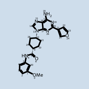 COc1cccc(NC(=O)[C@H]2CC[C@@H](n3cnc4c(N)nc(-c5ccoc5)nc43)CC2)c1